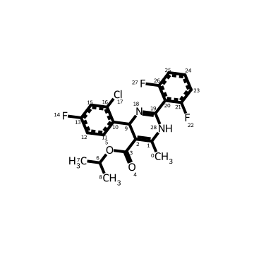 CC1=C(C(=O)OC(C)C)C(c2ccc(F)cc2Cl)N=C(c2c(F)cccc2F)N1